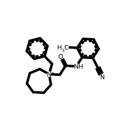 Cc1cccc(C#N)c1NC(=O)C[N+]1(Cc2ccccc2)CCCCCC1